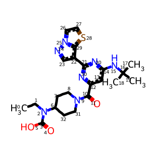 CCN(C(=O)O)C1CCN(C(=O)c2cc(NC(C)(C)C)nc(-c3cnn4ccsc34)n2)CC1